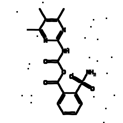 Cc1nc(NC(=O)OC(=O)c2ccccc2S(N)(=O)=O)nc(C)c1C